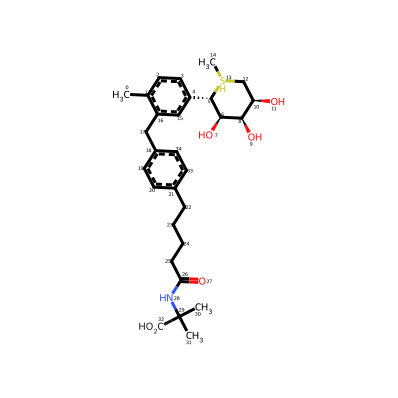 Cc1ccc([C@H]2[C@H](O)[C@H](O)[C@H](O)C[SH]2C)cc1Cc1ccc(CCCCC(=O)NC(C)(C)C(=O)O)cc1